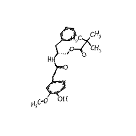 COc1cc(CC(=O)N[C@@H](COC(=O)C(C)(C)C)Cc2ccccc2)ccc1O